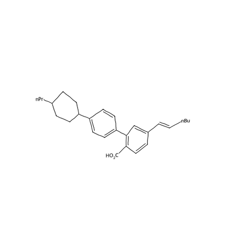 CCCC/C=C/c1ccc(C(=O)O)c(-c2ccc(C3CCC(CCC)CC3)cc2)c1